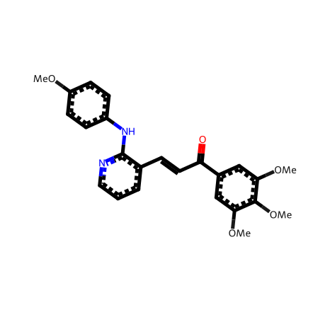 COc1ccc(Nc2ncccc2C=CC(=O)c2cc(OC)c(OC)c(OC)c2)cc1